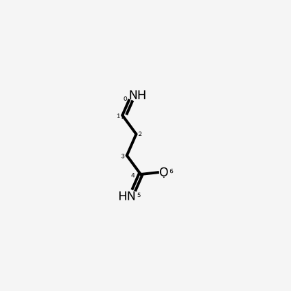 N=[C]CCC(=N)[O]